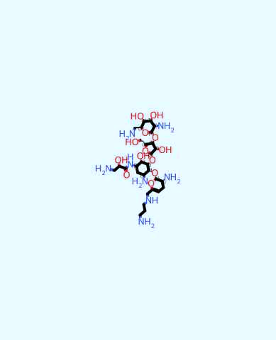 NCCCNCC1=CC[C@@H](N)[C@@H](O[C@H]2[C@H](O[C@@H]3O[C@H](CO)[C@@H](O[C@H]4O[C@@H](CN)[C@@H](O)[C@H](O)[C@H]4N)[C@H]3O)[C@@H](O)[C@H](NC(=O)C(O)CN)C[C@@H]2N)O1